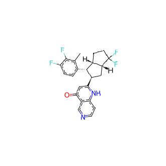 Cc1c([C@@H]2[C@@H]3CCC(F)(F)[C@@H]3C[C@H]2c2cc(=O)c3cnccc3[nH]2)ccc(F)c1F